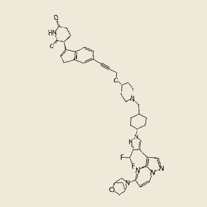 O=C1CCC(C2=CCc3cc(C#CCOC4CCN(CC5CCC(n6cc(-c7cnn8ccc(N9CC%10CC9CO%10)nc78)c(C(F)F)n6)CC5)CC4)ccc32)C(=O)N1